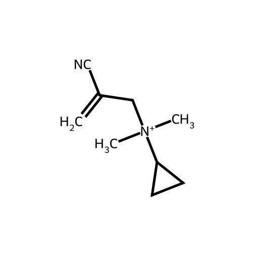 C=C(C#N)C[N+](C)(C)C1CC1